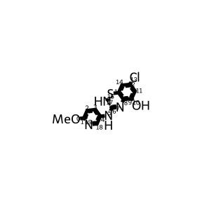 COc1ccc(NC2=Nc3c(O)cc(Cl)cc3SN2)cn1